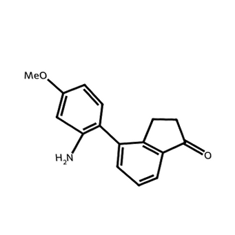 COc1ccc(-c2cccc3c2CCC3=O)c(N)c1